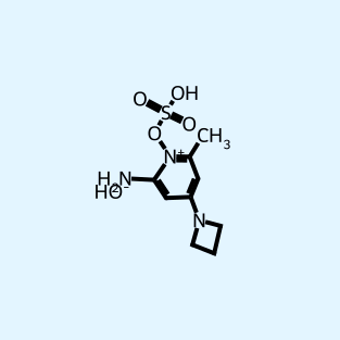 Cc1cc(N2CCC2)cc(N)[n+]1OS(=O)(=O)O.[OH-]